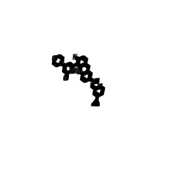 O=c1cc(N2CCOCC2)cc(-c2c(F)ccc3c2Oc2ccc(NCc4cc(C5CC5)ccn4)cc2C3)[nH]1